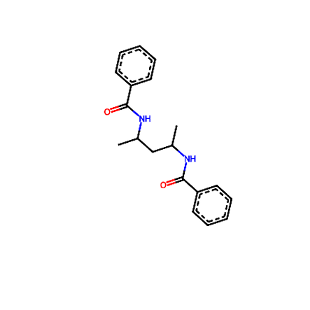 CC(CC(C)NC(=O)c1ccccc1)NC(=O)c1ccccc1